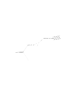 C#CCO[CH]C(C)C